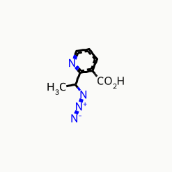 CC(N=[N+]=[N-])c1ncccc1C(=O)O